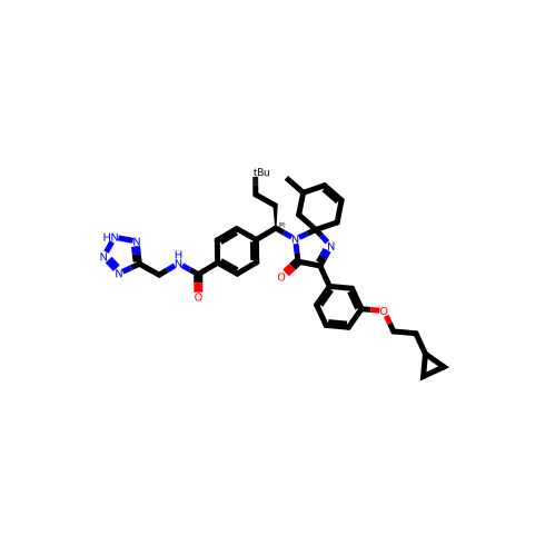 CC1C=CCC2(C1)N=C(c1cccc(OCCC3CC3)c1)C(=O)N2[C@H](CCC(C)(C)C)c1ccc(C(=O)NCc2nn[nH]n2)cc1